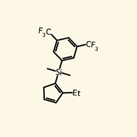 CCC1=C([Si](C)(C)c2cc(C(F)(F)F)cc(C(F)(F)F)c2)CC=C1